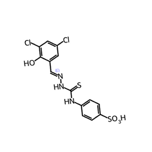 O=S(=O)(O)c1ccc(NC(=S)N/N=C/c2cc(Cl)cc(Cl)c2O)cc1